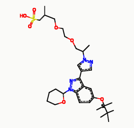 CC(COCCOCC(C)n1cc(-c2nn(C3CCCCO3)c3ccc(O[Si](C)(C)C(C)(C)C)cc23)cn1)CS(=O)(=O)O